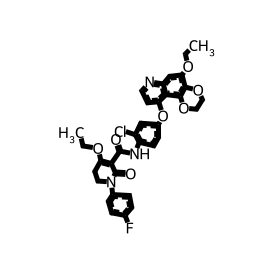 CCOC1=C(C(=O)Nc2ccc(Oc3ccnc4cc(OCC)c5c(c34)OCCO5)cc2Cl)C(=O)N(c2ccc(F)cc2)CC1